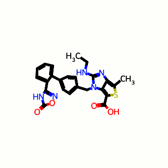 CCNc1nc2c(C)sc(C(=O)O)c2n1Cc1ccc(-c2ccccc2-c2noc(=O)[nH]2)cc1